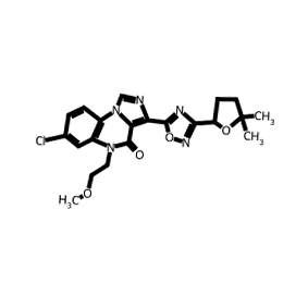 COCCn1c(=O)c2c(-c3nc(C4CCC(C)(C)O4)no3)ncn2c2ccc(Cl)cc21